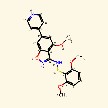 COc1cccc(OC)c1SNc1noc2cc(-c3ccncc3)cc(OC)c12